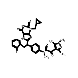 Cc1nn(C)c(C)c1C(=O)C(=O)N(C)c1ccc(C(Cc2ccccc2F)c2nc3c([nH]2)c(=O)[nH]c(=O)n3CC2CC2)cc1